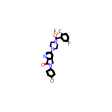 O=C(c1cc(F)ccc1C(F)(F)F)N1CCN(c2cnc3c(c2)CN(c2ccc(Cl)cc2)C3=O)CC1